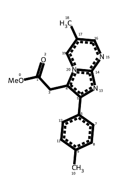 COC(=O)Cc1c(-c2ccc(C)cc2)nc2ncc(C)cn12